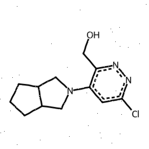 OCc1nnc(Cl)cc1N1CC2CCCC2C1